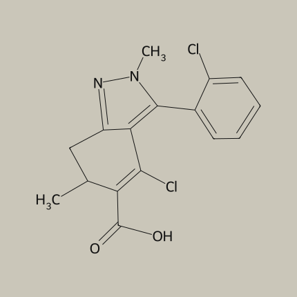 CC1Cc2nn(C)c(-c3ccccc3Cl)c2C(Cl)=C1C(=O)O